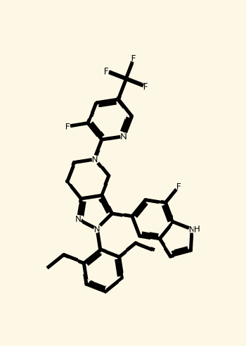 CCc1cccc(CC)c1-n1nc2c(c1-c1cc(F)c3[nH]ccc3c1)CN(c1ncc(C(F)(F)F)cc1F)CC2